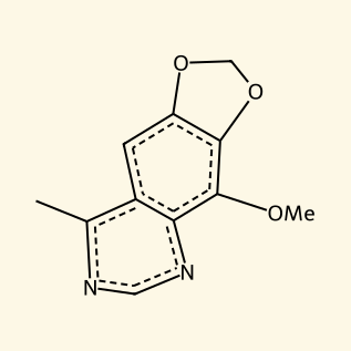 COc1c2c(cc3c(C)ncnc13)OCO2